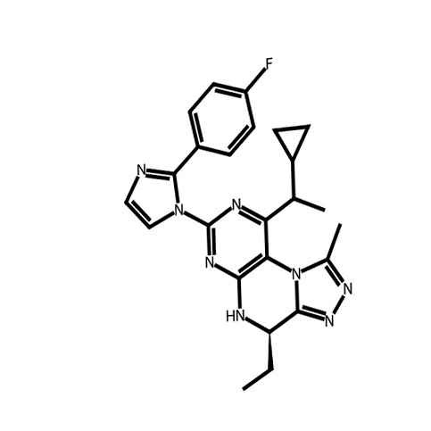 CC[C@H]1Nc2nc(-n3ccnc3-c3ccc(F)cc3)nc(C(C)C3CC3)c2-n2c(C)nnc21